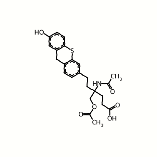 CC(=O)NC(CCC(=O)O)(CCc1ccc2c(c1)Sc1ccc(O)cc1C2)COC(C)=O